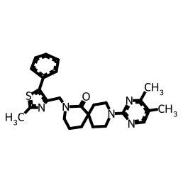 Cc1nc(CN2CCCC3(CCN(c4ncc(C)c(C)n4)CC3)C2=O)c(-c2ccccc2)s1